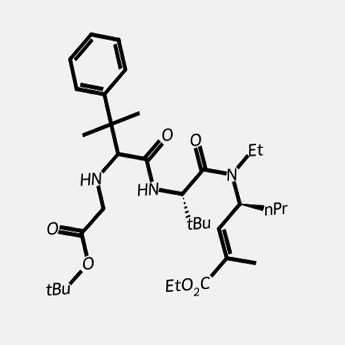 CCC[C@@H](/C=C(\C)C(=O)OCC)N(CC)C(=O)[C@@H](NC(=O)C(NCC(=O)OC(C)(C)C)C(C)(C)c1ccccc1)C(C)(C)C